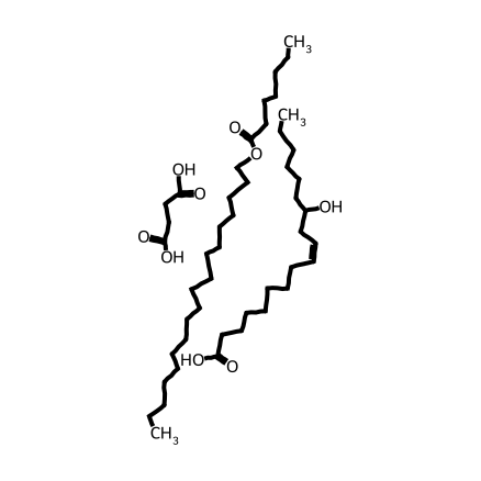 CCCCCCC(O)C/C=C\CCCCCCCC(=O)O.CCCCCCCCCCCCCCCCCCOC(=O)CCCCCC.O=C(O)CCC(=O)O